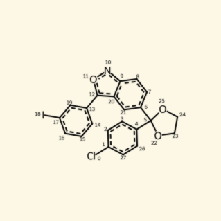 Clc1ccc(C2(c3ccc4noc(-c5cccc(I)c5)c4c3)OCCO2)cc1